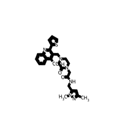 Cc1cc(CNC(=O)CN2CCN(Cc3c(-c4cccs4)nc4ccccc4c3C(=O)O)CC2=O)n(C)n1